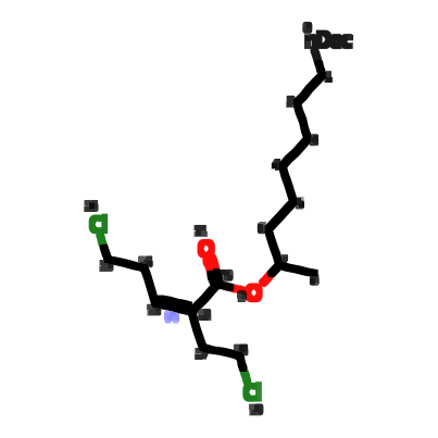 CCCCCCCCCCCCCCCCC(C)OC(=O)/C(=C\CCCl)CCCl